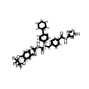 O=C(Nc1nn[nH]n1)c1ccc(CN(C(=O)Nc2nc3cc4c(cc3s2)OC(F)(F)C(F)(F)O4)c2ccc(C3=CCCCC3)cc2)cc1